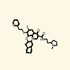 CN1CCCC1CCNC(=O)c1cn2c3c(c(SCCc4ccccn4)c(F)cc3c1=O)Oc1cc3ccccc3cc1-2